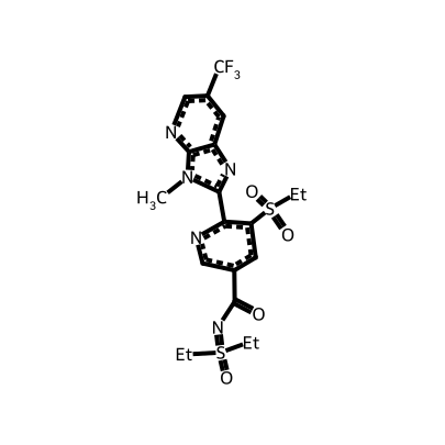 CCS(=O)(=O)c1cc(C(=O)N=S(=O)(CC)CC)cnc1-c1nc2cc(C(F)(F)F)cnc2n1C